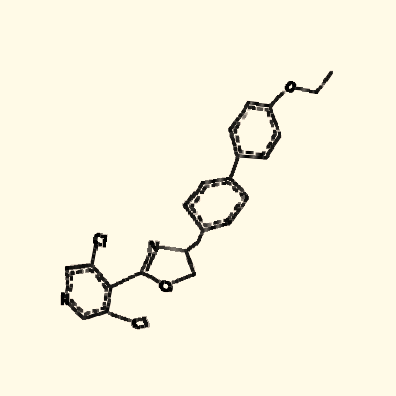 CCOc1ccc(-c2ccc(C3COC(c4c(Cl)cncc4Cl)=N3)cc2)cc1